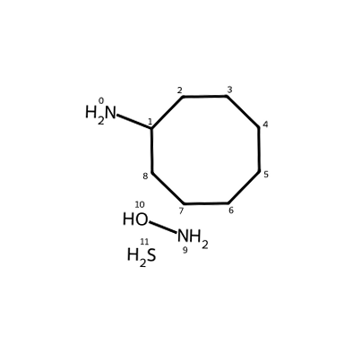 NC1CCCCCCC1.NO.S